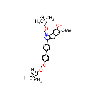 COc1cc2c(cc1O)-c1c(c(-c3ccc(-c4ccc(OCOCC[Si](C)(C)C)cc4)cc3)nn1COCC[Si](C)(C)C)C2